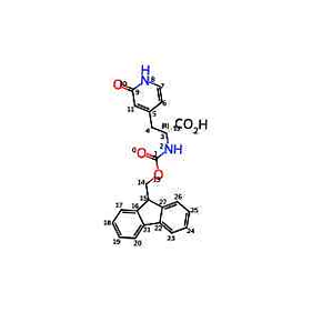 O=C(N[C@H](Cc1cc[nH]c(=O)c1)C(=O)O)OCC1c2ccccc2-c2ccccc21